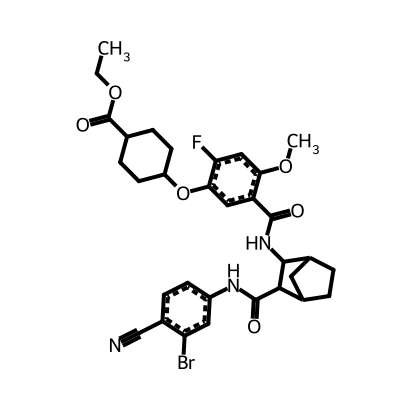 CCOC(=O)C1CCC(Oc2cc(C(=O)NC3C4CCC(C4)C3C(=O)Nc3ccc(C#N)c(Br)c3)c(OC)cc2F)CC1